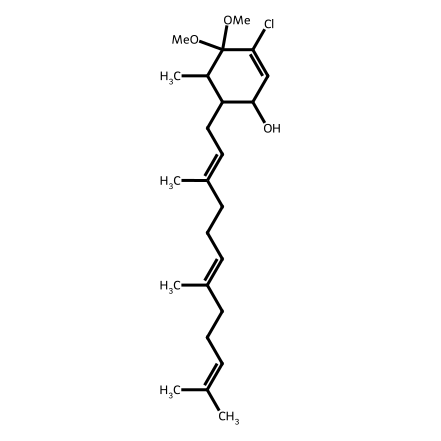 COC1(OC)C(Cl)=CC(O)C(C/C=C(\C)CC/C=C(\C)CCC=C(C)C)C1C